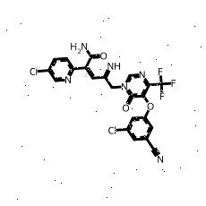 N#Cc1cc(Cl)cc(Oc2c(C(F)(F)F)ncn(CC(=N)/C=C(\C(N)=O)c3ccc(Cl)cn3)c2=O)c1